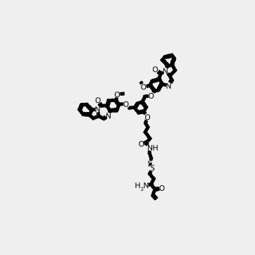 C=CC(=O)C(N)CCSSCCNC(=O)CCCCOc1cc(COc2cc3c(cc2OC)C(=O)N2c4ccccc4CC2C=N3)cc(COc2cc3c(cc2OC)C(=O)N2c4ccccc4CC2C=N3)c1